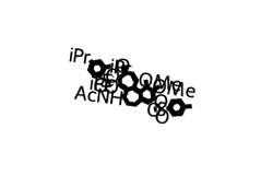 COC1=C(OS(=O)(=O)c2ccc(C)cc2)C=C2CCC(NC(C)=O)C3=CC(OS(=O)(=O)c4c(C(C)C)cc(C(C)C)cc4C(C)C)C(=O)C=CC3=C2C1OC